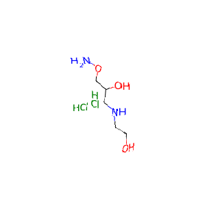 Cl.Cl.NOCC(O)CNCCO